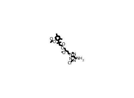 COC(CCn1cnc2c(N)nc(Cl)nc21)COC(=O)CC(C)(C)c1c(C)cc(C)cc1OC(C)=O